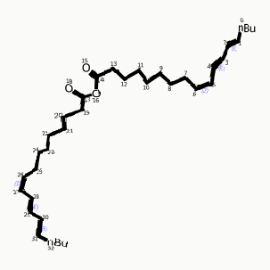 CCCC/C=C/C=C/C=C\CCCCCCCC(=O)OC(=O)CCCCCCC\C=C/C=C/C=C/CCCC